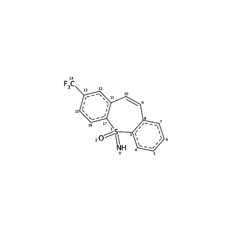 N=S1(=O)c2ccccc2C=Cc2cc(C(F)(F)F)ccc21